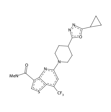 CNC(=O)c1csc2c(C(F)(F)F)cc(N3CCC(c4nnc(C5CC5)o4)CC3)nc12